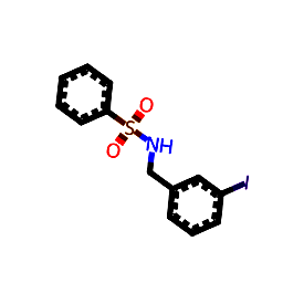 O=S(=O)(NCc1cccc(I)c1)c1ccccc1